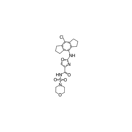 O=C(NS(=O)(=O)N1CCOCC1)c1coc(Nc2c3c(c(Cl)c4c2CCC4)CCC3)n1